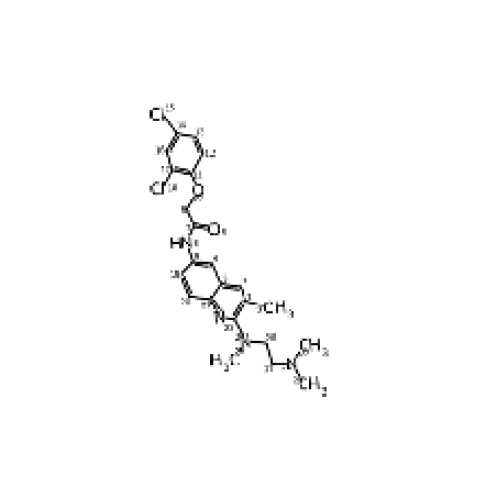 Cc1cc2cc(NC(=O)COc3ccc(Cl)cc3Cl)ccc2nc1N(C)CCN(C)C